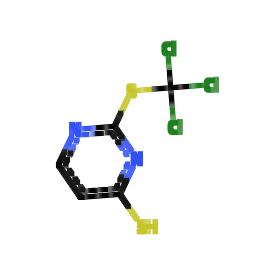 Sc1ccnc(SC(Cl)(Cl)Cl)n1